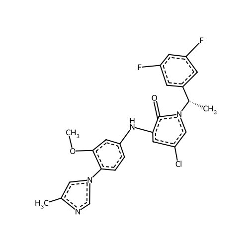 COc1cc(Nc2cc(Cl)cn([C@@H](C)c3cc(F)cc(F)c3)c2=O)ccc1-n1cnc(C)c1